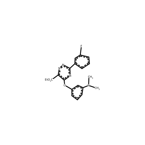 CCOC(=O)c1nnc(-c2cccc(F)c2)nc1Oc1cccc(N(C)C)c1